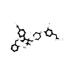 COc1ccccc1Cn1cc(C(O)(CN2CCC(Oc3ccc(CC(=O)O)cc3OC)CC2)C(F)(F)F)c2ccc(C#N)cc21